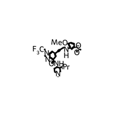 COc1ccc(S(C)(=O)=O)cc1NCC#Cc1cc(C(=O)NC2CCN(C)CC2C(C)C)c2ncn(CC(F)(F)F)c2c1